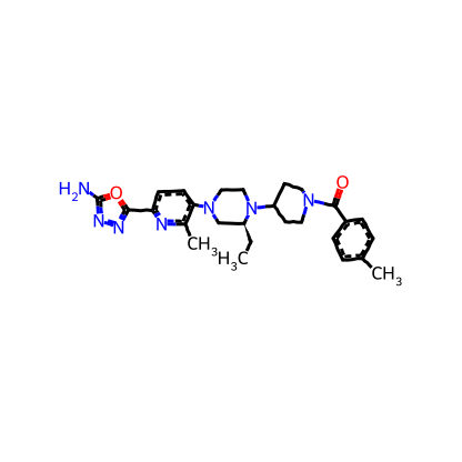 CC[C@H]1CN(c2ccc(-c3nnc(N)o3)nc2C)CCN1C1CCN(C(=O)c2ccc(C)cc2)CC1